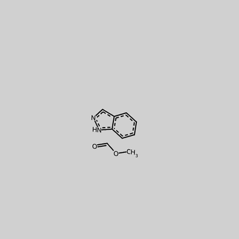 COC=O.c1ccc2[nH]ncc2c1